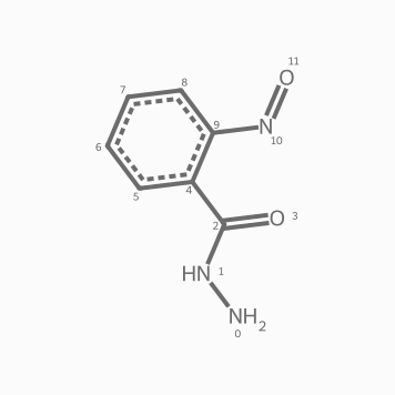 NNC(=O)c1ccccc1N=O